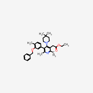 CCOC(=O)Cc1c(C)nc(C)c(-c2ccc(C)c(OCc3ccccc3)c2)c1N1CCC(C)(C)CC1